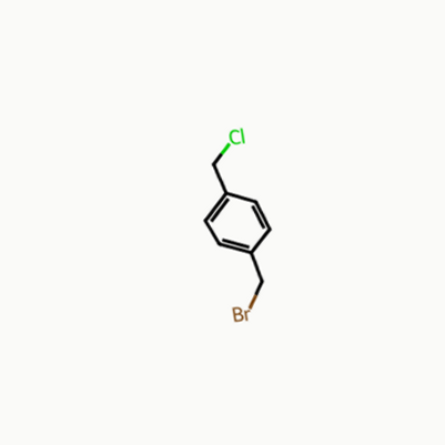 ClCc1ccc(CBr)cc1